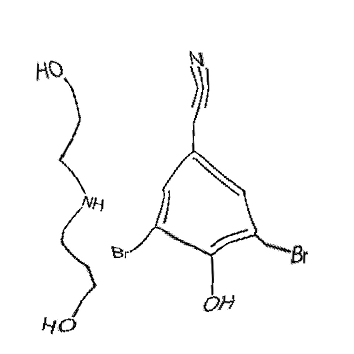 N#Cc1cc(Br)c(O)c(Br)c1.OCCNCCO